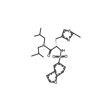 Cc1nc(C[C@H](NS(=O)(=O)c2ccc3occc3c2)C(=O)N(CC(C)C)CC(C)C)cs1